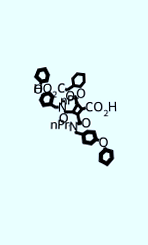 CCCN(Cc1ccc(Oc2ccccc2)cc1)C(=O)C1C(C(=O)O)C(C(=O)OC(C(=O)O)C2CCCCC2)C1C(=O)N(CCC)Cc1ccc(Oc2ccccc2)cc1